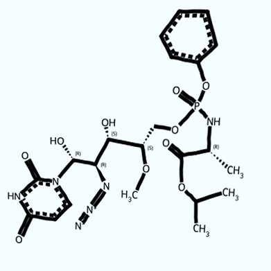 CO[C@@H](COP(=O)(N[C@H](C)C(=O)OC(C)C)Oc1ccccc1)[C@@H](O)[C@@H](N=[N+]=[N-])[C@@H](O)n1ccc(=O)[nH]c1=O